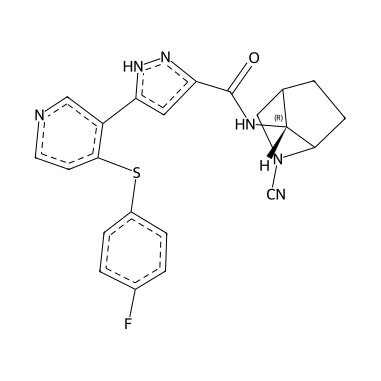 N#CN1CC2CCC1[C@@H]2NC(=O)c1cc(-c2cnccc2Sc2ccc(F)cc2)[nH]n1